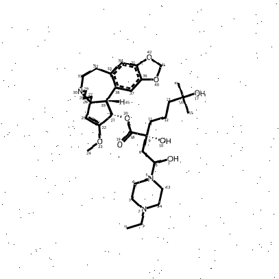 CCN1CCN(C(O)C[C@](O)(CCCC(C)(C)O)C(=O)O[C@@H]2C(OC)=C[C@]34CCCN3CCc3cc5c(cc3[C@H]24)OCO5)CC1